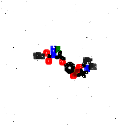 CCN(CC(C)(C)CS(=O)(=O)c1ccc(OC/C(=C/F)CNC(=O)OC(C)(C)C)cc1)C(=O)C(C)C